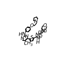 CCCCC1(CN2CCOCC2)N=C(c2ccc(-c3nc(Nc4ccc(OCCN5CCCC5)cc4)ncc3C)s2)NO1